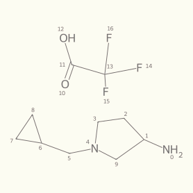 NC1CCN(CC2CC2)C1.O=C(O)C(F)(F)F